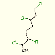 CC(Cl)C(Cl)CCC(Cl)CCCl